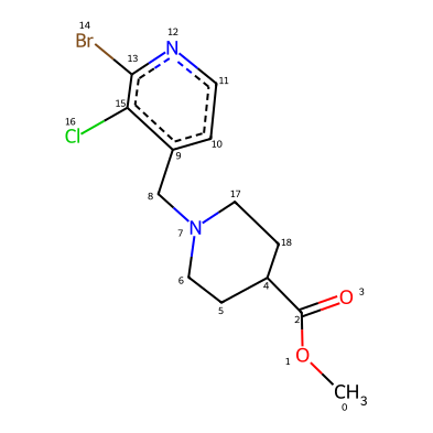 COC(=O)C1CCN(Cc2ccnc(Br)c2Cl)CC1